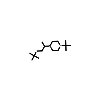 CC(COC(C)(C)C)N1CCN(C(C)(C)C)CC1